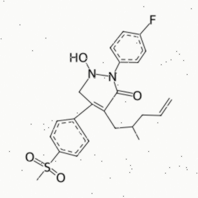 C=CCC(C)CC1=C(c2ccc(S(C)(=O)=O)cc2)CN(O)N(c2ccc(F)cc2)C1=O